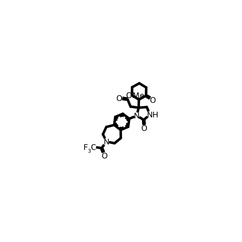 COC(=O)CC1(C2CCCCC2=O)CNC(=O)N1c1ccc2c(c1)CCN(C(=O)C(F)(F)F)CC2